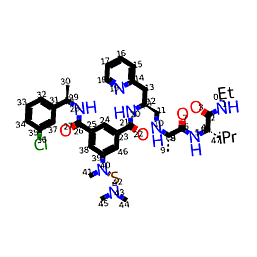 CCNC(=O)[C@@H](NC(=O)[C@H](C)NC[C@H](Cc1ccccn1)NC(=O)c1cc(C(=O)N[C@H](C)c2cccc(Cl)c2)cc(N(C)SN(C)C)c1)C(C)C